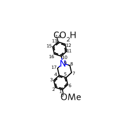 COc1ccc2c(c1)CCN(c1ccc(C(=O)O)cc1)C2